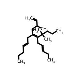 C=CC(C)CC(CC=CCCC)=C(CC=CCC)C(C)(C)CCC